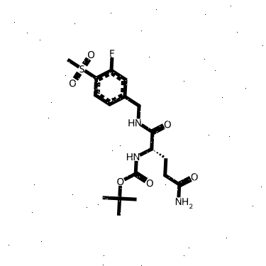 CC(C)(C)OC(=O)N[C@@H](CCC(N)=O)C(=O)NCc1ccc(S(C)(=O)=O)c(F)c1